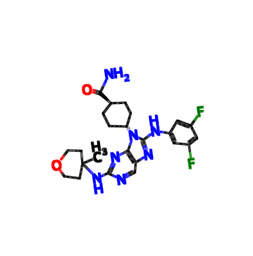 CC1(Nc2ncc3nc(Nc4cc(F)cc(F)c4)n([C@H]4CC[C@H](C(N)=O)CC4)c3n2)CCOCC1